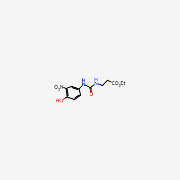 CCOC(=O)CCNC(=O)Nc1ccc(O)c([N+](=O)[O-])c1